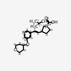 CC(C)(C)[C@H]1C(C=Cc2cncc(OC3CCOCC3)c2)CCN1C(=O)O